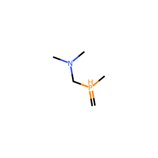 C=[PH](C)CN(C)C